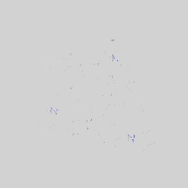 c1ccc(-c2cc(-c3ccccn3)ccc2-c2ccccc2-c2cc(-c3ccccc3-c3ccc(-c4ccccn4)cc3)cc(-c3ccccc3-c3ccc(-c4ccccn4)cc3)c2)cc1